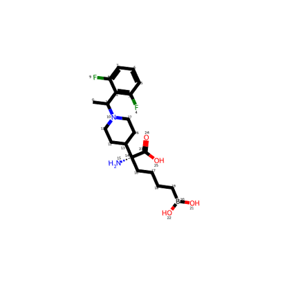 CC(c1c(F)cccc1F)N1CCC([C@](N)(CCCCB(O)O)C(=O)O)CC1